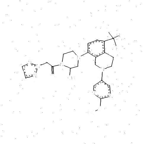 COc1ncc(N2CCc3c(C(F)(F)F)ccc(N4CCN(C(=O)Cn5nccn5)C(C)C4)c3C2)cn1